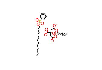 CCCCCCCCCCCCOS(=O)(=O)c1ccccc1.O=C([O-])CC(O)(CC(=O)[O-])C(=O)[O-].[Na+].[Na+].[Na+]